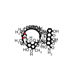 CN(C)[C@@H]1C(O)=C(C(N)=O)C(=O)[C@@]2(O)C(O)=C3C(=O)c4c(O)cccc4[C@@](C)(O)[C@H]3C[C@@H]12.CO[C@H]1/C=C/O[C@@]2(C)Oc3c(C)c(O)c4c(O)c(c(/C=N/N5CCN(C)CC5)c(O)c4c3C2=O)NC(=O)/C(C)=C\C=C\[C@H](C)[C@H](O)[C@@H](C)[C@@H](O)[C@@H](C)[C@H](OC(C)=O)[C@@H]1C